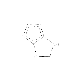 c1nc2c(s1)NCN2